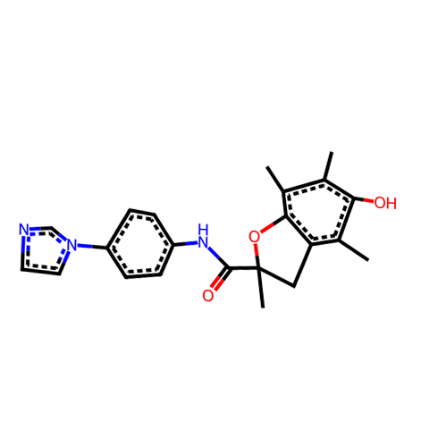 Cc1c(C)c2c(c(C)c1O)CC(C)(C(=O)Nc1ccc(-n3ccnc3)cc1)O2